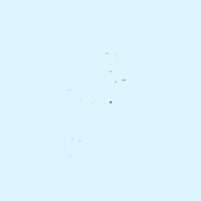 COC1C[C@@H](OCc2ccccc2)[C@H](OC(=O)c2ccccc2)[C@@H](COS(=O)(=O)c2ccc(C)cc2)O1